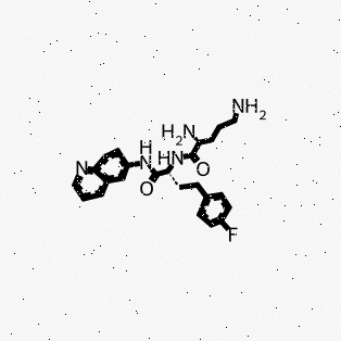 NCCC[C@H](N)C(=O)N[C@H](CCc1ccc(F)cc1)C(=O)Nc1ccc2ncccc2c1